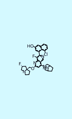 Oc1cc(-c2ncc3c(N4CC5CCC(C4)N5)cc(OC[C@@]45CCCN4C[C@H](F)C5)nc3c2F)c2c(Cl)cccc2c1